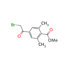 COC(=O)c1c(C)cc(C(=O)CBr)cc1C